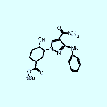 CC(C)(C)OC(=O)C1CC[C@H](C#N)[C@@H](n2cc(C(N)=O)c(Nc3ccccc3)n2)C1